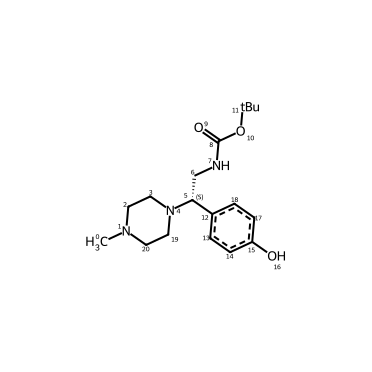 CN1CCN([C@H](CNC(=O)OC(C)(C)C)c2ccc(O)cc2)CC1